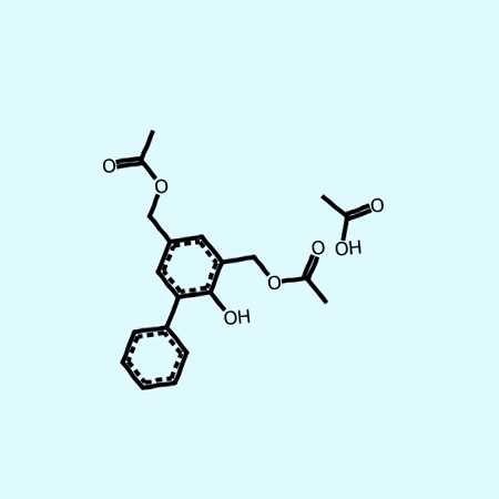 CC(=O)O.CC(=O)OCc1cc(COC(C)=O)c(O)c(-c2ccccc2)c1